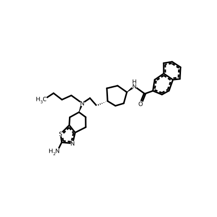 CCCCN(CC[C@H]1CC[C@H](NC(=O)c2ccc3ccccc3c2)CC1)[C@H]1CCc2nc(N)sc2C1